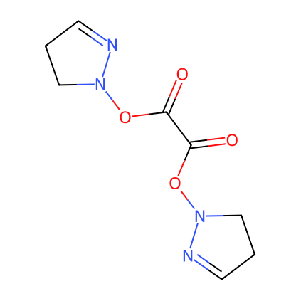 O=C(ON1CCC=N1)C(=O)ON1CCC=N1